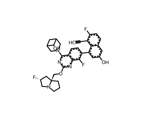 C#Cc1c(F)ccc2cc(O)cc(-c3ccc4c(N5CC6CC(C5)C6O)nc(OC[C@@]56CCCN5C[C@H](F)C6)nc4c3F)c12